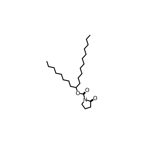 CCCCCCCCCCCC(CCCCCCCC)OC(=O)N1CCCC1=O